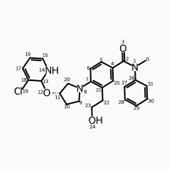 CN(C(=O)c1ccc(N2CC[C@H](OC3NC=CC=C3Cl)C2)c(CCO)c1)c1ccccc1